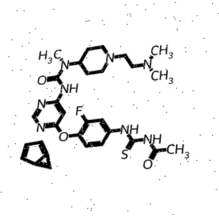 CC(=O)NC(=S)Nc1ccc(Oc2cc(NC(=O)N(C)C3CCN(CCN(C)C)CC3)ncn2)c(F)c1.c1cc2cc-2c1